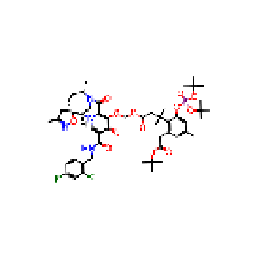 CC1=NO[C@@]2(CC[C@H](C)N3C[C@H]2n2cc(C(=O)NCc4ccc(F)cc4F)c(=O)c(OCOC(=O)CC(C)(C)c4c(CC(=O)OC(C)(C)C)cc(C)cc4OP(=O)(OC(C)(C)C)OC(C)(C)C)c2C3=O)C1